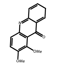 COc1ccc2c(c1OC)C(=O)C1=CCC=CC1=N2